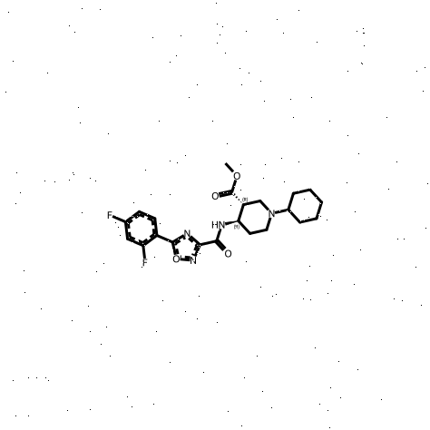 COC(=O)[C@@H]1CN(C2CCCCC2)CC[C@H]1NC(=O)c1noc(-c2ccc(F)cc2F)n1